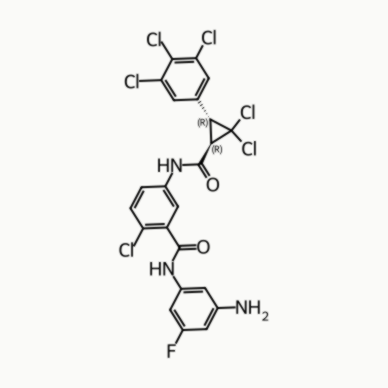 Nc1cc(F)cc(NC(=O)c2cc(NC(=O)[C@H]3[C@H](c4cc(Cl)c(Cl)c(Cl)c4)C3(Cl)Cl)ccc2Cl)c1